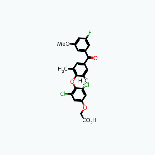 COc1cc(F)cc(C(=O)c2cc(C)c(Oc3c(Cl)cc(OCC(=O)O)cc3Cl)c(C)c2)c1